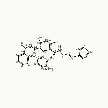 CC1=C(C(=O)NC/C=C/c2ccccc2)C(c2cccc(Cl)c2)C(C(=O)O[C@H](C)c2ccccc2)=C(C)N1